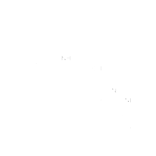 Cc1ccsc1NCC(O)Cc1n[nH]c(=S)o1